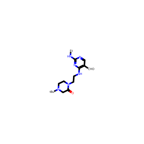 CCNc1ncc(C=O)c(NCCN2CCN(C(C)(C)C)CC2=O)n1